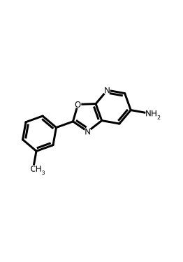 Cc1cccc(-c2nc3cc(N)cnc3o2)c1